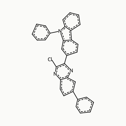 Clc1nc2ccc(-c3ccccc3)cc2nc1-c1ccc2c3ccccc3n(-c3ccccc3)c2c1